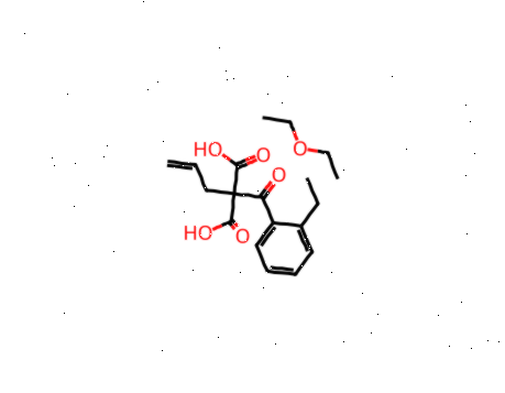 C=CCC(C(=O)O)(C(=O)O)C(=O)c1ccccc1CC.CCOCC